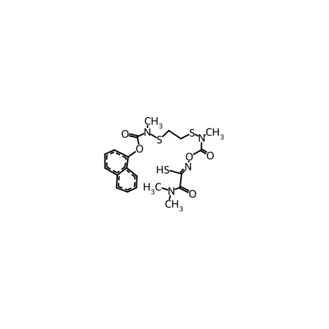 CN(C)C(=O)C(S)=NOC(=O)N(C)SCCSN(C)C(=O)Oc1cccc2ccccc12